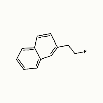 FCCc1ccc2ccccc2c1